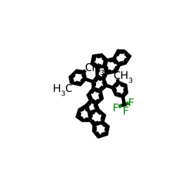 Cc1ccc(C)c(-c2c3cc4c(cc3c(-c3cc(C(F)(F)F)ccc3C)c3c5cc6ccccc6c6cccc(c23)c65)c2cc3ccccc3c3cccc4c32)c1